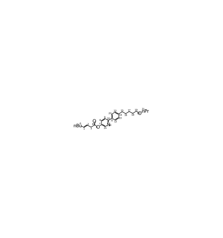 CCCCC=CCC(=O)Oc1ccc(-c2ccc(CCCCCOCCC)cc2)nc1